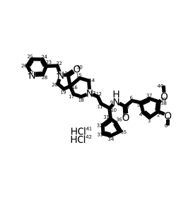 COc1ccc(CC(=O)NC(CCN2CCC3(CC2)CCN(Cc2cccnc2)C3=O)c2ccccc2)cc1OC.Cl.Cl